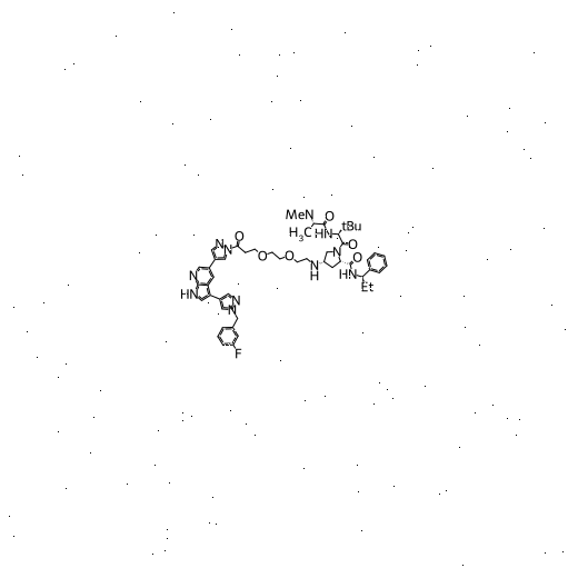 CC[C@@H](NC(=O)[C@@H]1C[C@H](NCCOCCOCCC(=O)n2cc(-c3cnc4[nH]cc(-c5cnn(Cc6cccc(F)c6)c5)c4c3)cn2)CN1C(=O)[C@@H](NC(=O)[C@H](C)NC)C(C)(C)C)c1ccccc1